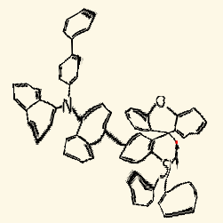 c1ccc(-c2ccc(N(c3cccc4ccccc34)c3ccc(-c4ccc5c(c4)C4(c6ccccc6Oc6ccccc64)c4ccccc4[Si]5(c4ccccc4)c4ccccc4)c4ccccc34)cc2)cc1